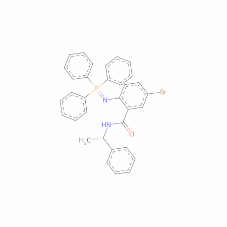 C[C@H](NC(=O)c1cc(Br)ccc1N=P(c1ccccc1)(c1ccccc1)c1ccccc1)c1ccccc1